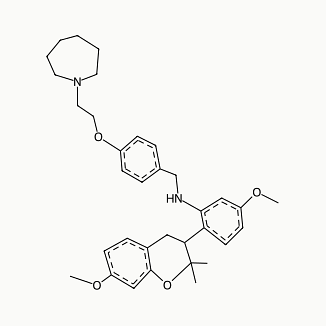 COc1ccc(C2Cc3ccc(OC)cc3OC2(C)C)c(NCc2ccc(OCCN3CCCCCC3)cc2)c1